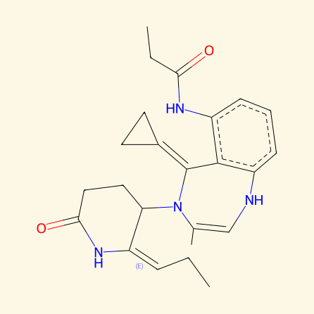 CC/C=C1/NC(=O)CCC1N1C(C)=CNc2cccc(NC(=O)CC)c2C1=C1CC1